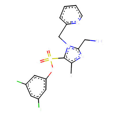 CC(C)c1nc(CN)n(Cc2ccccn2)c1S(=O)(=O)Oc1cc(Cl)cc(Cl)c1